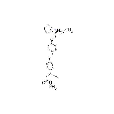 CO/N=C(\COc1ccc(COc2ccc(C(C#N)CC(=O)OP)cc2)cc1)c1ccccc1